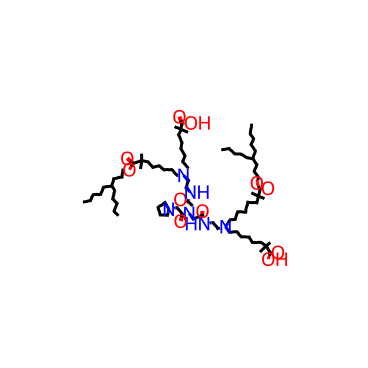 CCCCCC(CCCCC)CCCOC(=O)C(C)(C)CCCCCCN(CCCCCCC(C)(C)C(=O)O)CCNC(=O)CN(CC(=O)NCCN(CCCCCCC(C)(C)C(=O)O)CCCCCCC(C)(C)C(=O)OCCCC(CCCCC)CCCCC)C(=O)CN1CCCC1